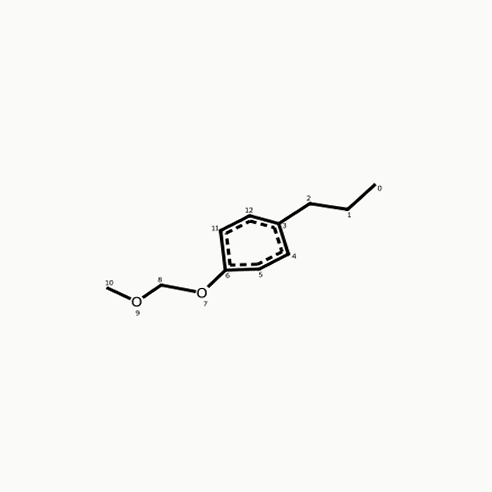 CCCc1ccc(OCOC)cc1